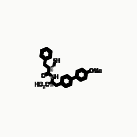 COc1ccc(-c2ccc(C[C@H](NC(=O)[C@@H](CS)Cc3ccccc3)C(=O)O)cc2)cc1